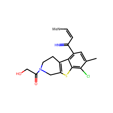 CN/C=C\C(=N)c1cc(C)c(Cl)c2sc3c(c12)CCN(C(=O)CO)C3